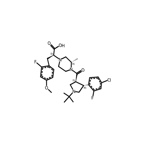 COc1ccc(C[C@@H](C(=O)O)N2CCN(C(=O)[C@@H]3CN(C(C)(C)C)C[C@H]3c3ccc(Cl)cc3F)[C@@H](C)C2)c(F)c1